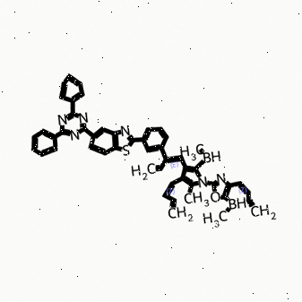 C=C/C=C\c1nc(-n2c(C)c(/C=C\C=C)c(/C=C(\C=C)c3cccc(-c4nc5cc(-c6nc(-c7ccccc7)nc(-c7ccccc7)n6)ccc5s4)c3)c2BC)oc1BC